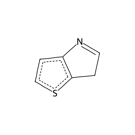 C1=Nc2ccsc2C1